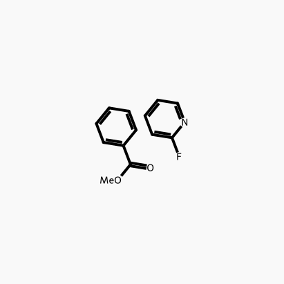 COC(=O)c1ccccc1.Fc1ccccn1